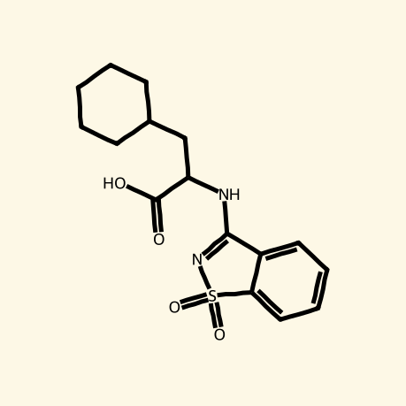 O=C(O)C(CC1CCCCC1)NC1=NS(=O)(=O)c2ccccc21